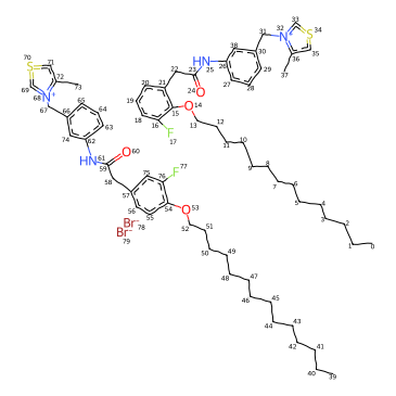 CCCCCCCCCCCCCCOc1c(F)cccc1CC(=O)Nc1cccc(C[n+]2cscc2C)c1.CCCCCCCCCCCCCCOc1ccc(CC(=O)Nc2cccc(C[n+]3cscc3C)c2)cc1F.[Br-].[Br-]